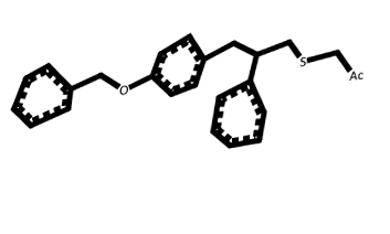 CC(=O)CSCC(Cc1ccc(OCc2ccccc2)cc1)c1ccccc1